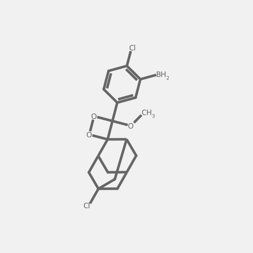 Bc1cc(C2(OC)OOC23C2CC4CC3CC(Cl)(C4)C2)ccc1Cl